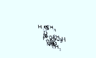 CN(C)CCCOc1ccc(-c2ccc3ncc4c(c3c2)n([C@@H]2CCCOC2)c(=O)n4C)c(F)n1.CS(=O)(=O)O